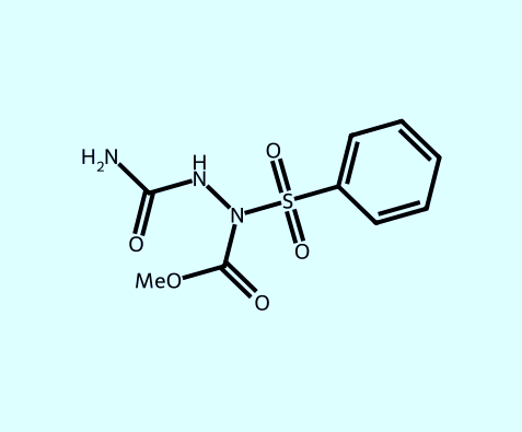 COC(=O)N(NC(N)=O)S(=O)(=O)c1ccccc1